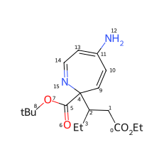 CCOC(=O)CC(CC)C1(C(=O)OC(C)(C)C)C=CC(N)=CC=N1